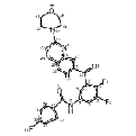 O=C(Nc1cc(F)c(F)c(C(=O)c2cc3nc(N4CCOCC4)cnc3cn2)c1)c1ccc(F)cc1